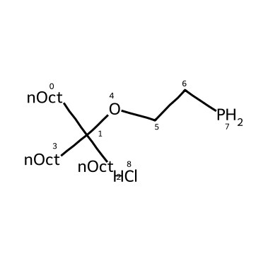 CCCCCCCCC(CCCCCCCC)(CCCCCCCC)OCCP.Cl